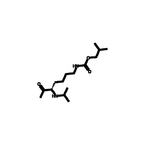 CC(=O)[C@H](CCCCNC(=O)OCC(C)C)NC(C)C